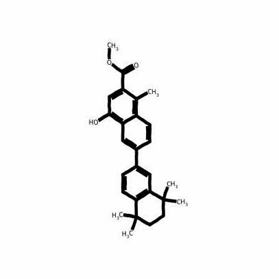 COC(=O)c1cc(O)c2cc(-c3ccc4c(c3)C(C)(C)CCC4(C)C)ccc2c1C